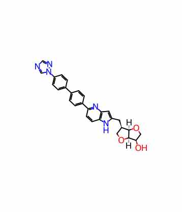 O[C@@H]1CO[C@@H]2[C@H](Cc3cc4nc(-c5ccc(-c6ccc(-n7cncn7)cc6)cc5)ccc4[nH]3)CO[C@@H]21